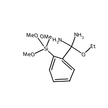 CCOC(N)(N)c1ccccc1[Si](OC)(OC)OC